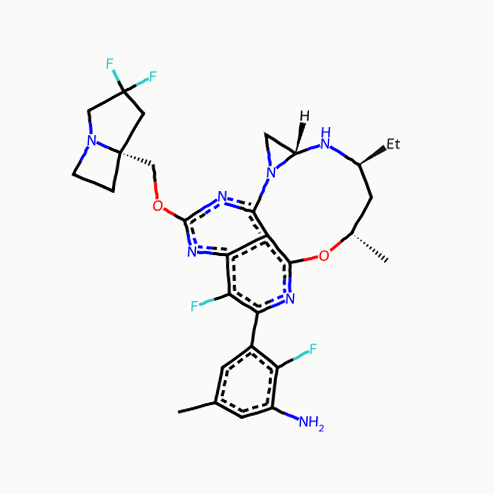 CC[C@H]1C[C@H](C)Oc2nc(-c3cc(C)cc(N)c3F)c(F)c3nc(OC[C@]45CCN4CC(F)(F)C5)nc(c23)N2C[C@@H]2N1